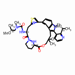 CCn1c(-c2cccnc2[C@H](C)OC)c2c3cc(ccc31)-c1csc(n1)C[C@H](NC(=O)N(C)C[C@@H](C)OC)C(=O)N1CCC[C@H](N1)C(=O)OCC(C)(C)C2